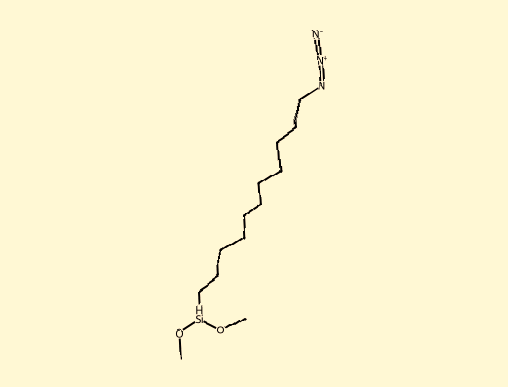 CO[SiH](CCCCCCCCCCCN=[N+]=[N-])OC